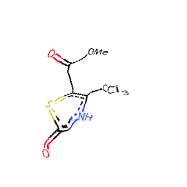 COC(=O)c1sc(=O)[nH]c1C(Cl)(Cl)Cl